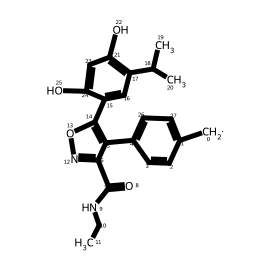 [CH2]c1ccc(-c2c(C(=O)NCC)noc2-c2cc(C(C)C)c(O)cc2O)cc1